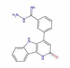 N=C(NN)c1cccc(-c2cc(=O)[nH]c3c2[nH]c2ccccc23)c1